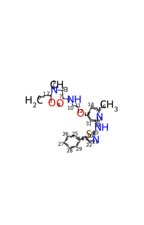 C=CC(=O)N(C)CC(=O)NCCOc1cc(C)nc(Nc2ncc(-c3ccccc3)s2)c1